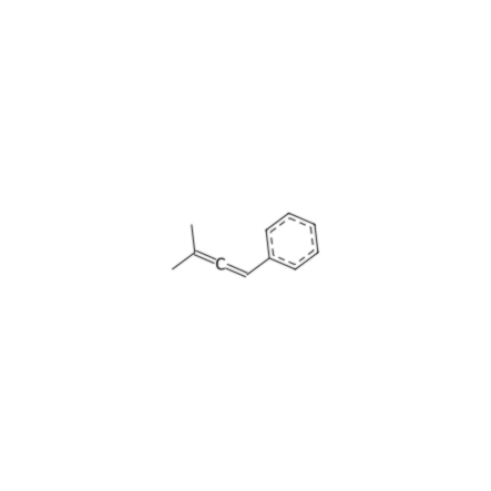 CC(C)=C=Cc1ccccc1